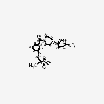 CCS(=O)(=O)C(C)COc1cccc(C(=O)N2CCN(c3ccc(C(F)(F)F)nn3)CC2)c1